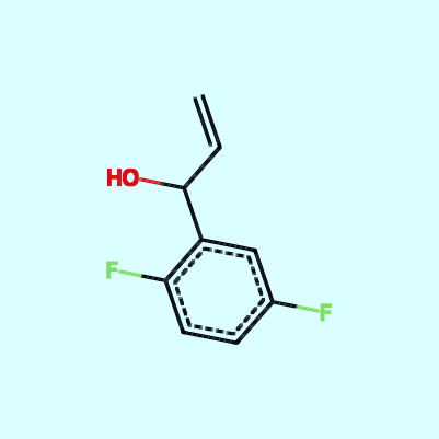 C=CC(O)c1cc(F)ccc1F